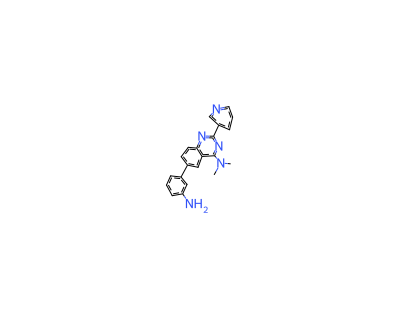 CN(C)c1nc(-c2cccnc2)nc2ccc(-c3cccc(N)c3)cc12